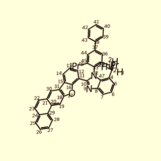 [2H]C([2H])([2H])c1cccc2nc(-c3cccc4c3oc3cc5c(ccc6ccccc65)cc34)n(-c3c(C(C)C)cc(-c4ccccc4)cc3C(C)C)c12